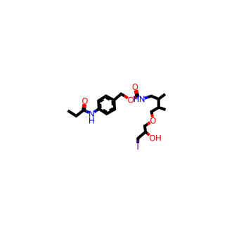 CCC(=O)Nc1ccc(COC(=O)NCC(C)C(C)COCC(O)CI)cc1